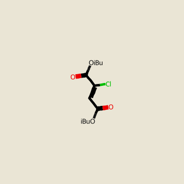 CC(C)COC(=O)/C=C(\Cl)C(=O)OCC(C)C